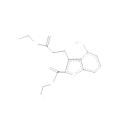 CCOC(=O)CCc1c(C(=O)OCC)[nH]c2cccc(C)c12